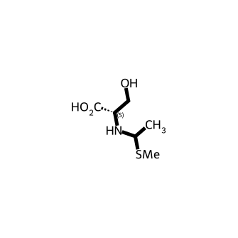 CSC(C)N[C@@H](CO)C(=O)O